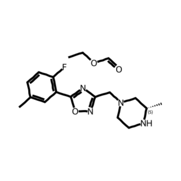 CCOC=O.Cc1ccc(F)c(-c2nc(CN3CCN[C@@H](C)C3)no2)c1